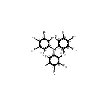 Fc1c(F)c(F)[c]([Ge]([c]2c(F)c(F)c(F)c(F)c2F)[c]2c(F)c(F)c(F)c(F)c2F)c(F)c1F